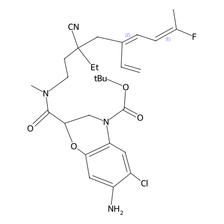 C=C/C(=C\C=C(/C)F)CC(C#N)(CC)CCN(C)C(=O)C1CN(C(=O)OC(C)(C)C)c2cc(Cl)c(N)cc2O1